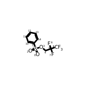 O=S(=O)(OCC(F)(F)C(F)(F)F)c1ccccc1